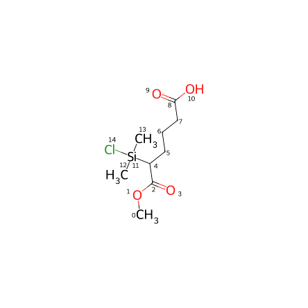 COC(=O)C(CCCC(=O)O)[Si](C)(C)Cl